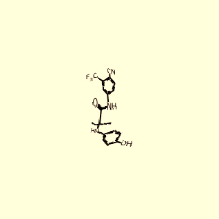 CC(C)(Nc1ccc(O)cc1)C(=O)Nc1ccc(C#N)c(C(F)(F)F)c1